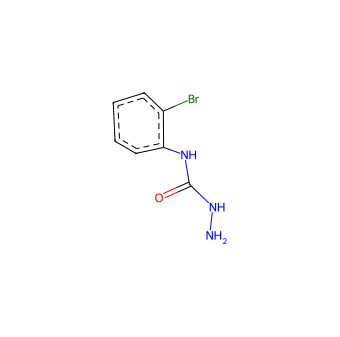 NNC(=O)Nc1ccccc1Br